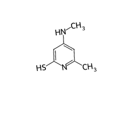 CNc1cc(C)nc(S)c1